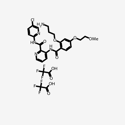 COCCOc1ccc(C(=O)Nc2cccnc2C(=O)Nc2ccc(Cl)cn2)c(OCCCN)c1.O=C(O)C(F)(F)F.O=C(O)C(F)(F)F